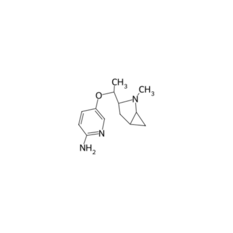 CC(Oc1ccc(N)nc1)C1CC2CC2N1C